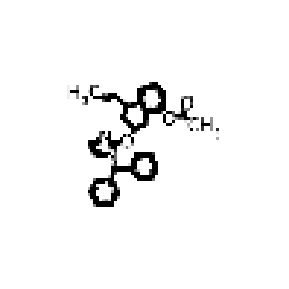 CC=CC1CC(Oc2nccn2C(c2ccccc2)c2ccccc2)Cc2c(OC(C)=O)cccc21